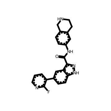 O=C(Nc1ccc2c(c1)CCNC2)c1n[nH]c2ccc(-c3cccnc3F)cc12